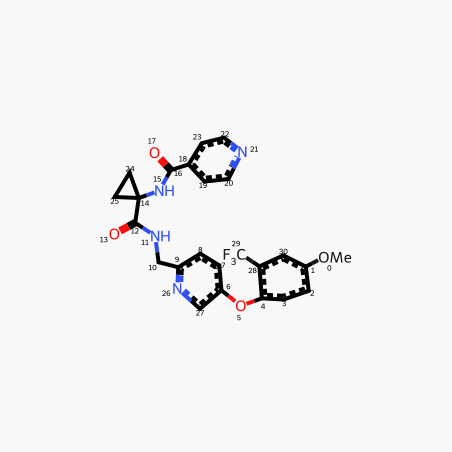 COc1ccc(Oc2ccc(CNC(=O)C3(NC(=O)c4ccncc4)CC3)nc2)c(C(F)(F)F)c1